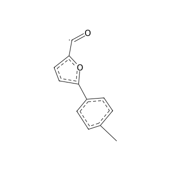 Cc1ccc(-c2ccc([C]=O)o2)cc1